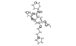 CCc1nc(NC2CCOCC2)c2cc(OC)c(OCCCN3CCCC3)cc2n1